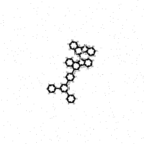 c1ccc(-c2cc(-c3ccccc3)nc(-c3ccc(-c4cc5c6ccccc6n(-c6nc7ccccc7c7nc8ccccc8n67)c5c5ccccc45)cc3)c2)cc1